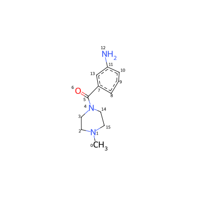 CN1CCN(C(=O)c2cccc(N)c2)CC1